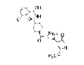 COc1cc(-c2cc(C(=O)N3CCC(C(=O)NC(C)c4cccc(Cl)c4)CC3)n[nH]2)c(Cl)cn1